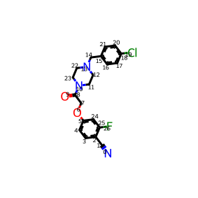 N#Cc1ccc(OCC(=O)N2CCN(Cc3ccc(Cl)cc3)CC2)cc1F